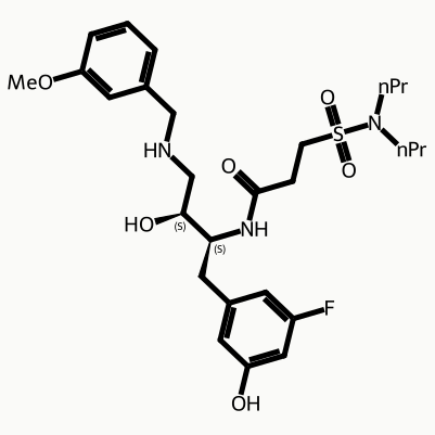 CCCN(CCC)S(=O)(=O)CCC(=O)N[C@@H](Cc1cc(O)cc(F)c1)[C@@H](O)CNCc1cccc(OC)c1